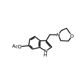 CC(=O)Oc1ccc2c(CN3CCOCC3)c[nH]c2c1